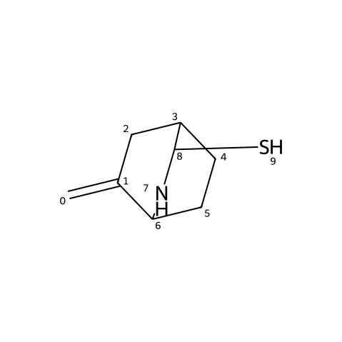 C=C1CC2CCC1NC2S